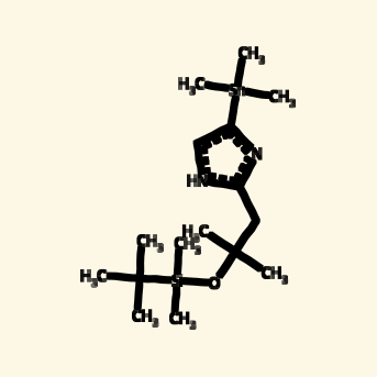 CC(C)(Cc1n[c]([Sn]([CH3])([CH3])[CH3])c[nH]1)O[Si](C)(C)C(C)(C)C